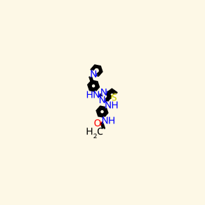 C=CC(=O)Nc1cccc(Nc2nc(Nc3ccc(CN4CCCCC4)cc3)nc3ccsc23)c1